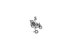 CCOC(=O)[C@H](CCSC)NC(=O)[C@@H](CSC(C)=O)Cc1ccccc1C